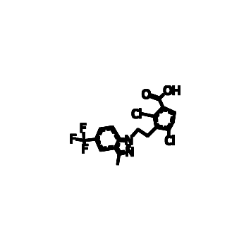 Cc1nn(CCc2c(Cl)ccc(C(=O)O)c2Cl)c2ccc(C(F)(F)F)cc12